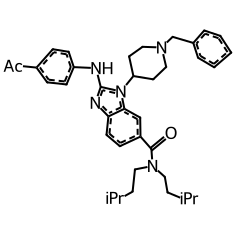 CC(=O)c1ccc(Nc2nc3ccc(C(=O)N(CCC(C)C)CCC(C)C)cc3n2C2CCN(Cc3ccccc3)CC2)cc1